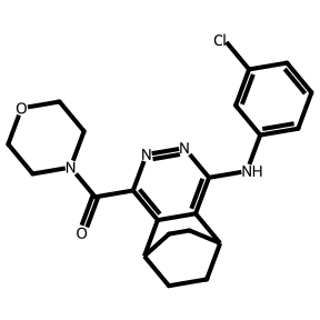 O=C(c1nnc(Nc2cccc(Cl)c2)c2c1C1CCC2CC1)N1CCOCC1